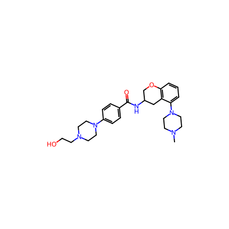 CN1CCN(c2cccc3c2CC(NC(=O)c2ccc(N4CCN(CCO)CC4)cc2)CO3)CC1